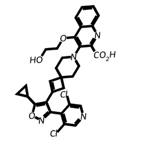 O=C(O)c1nc2ccccc2c(OCCO)c1N1CCC2(C=C(c3c(-c4c(Cl)cncc4Cl)noc3C3CC3)C2)CC1